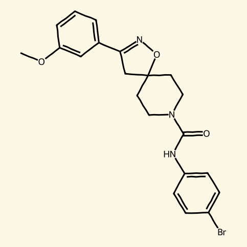 COc1cccc(C2=NOC3(CCN(C(=O)Nc4ccc(Br)cc4)CC3)C2)c1